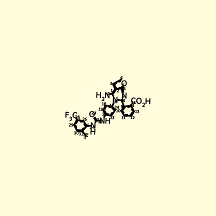 NC1=c2ccoc2=NC(c2ccccc2C(=O)O)N1c1ccc(NC(=O)Nc2cc(C(F)(F)F)ccc2F)cc1